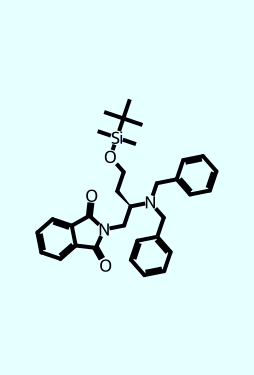 CC(C)(C)[Si](C)(C)OCC[C@H](CN1C(=O)c2ccccc2C1=O)N(Cc1ccccc1)Cc1ccccc1